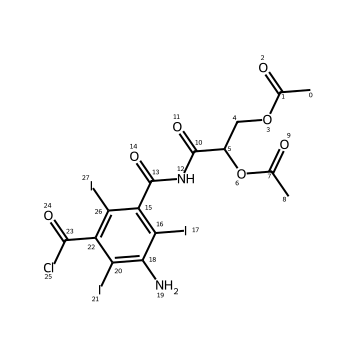 CC(=O)OCC(OC(C)=O)C(=O)NC(=O)c1c(I)c(N)c(I)c(C(=O)Cl)c1I